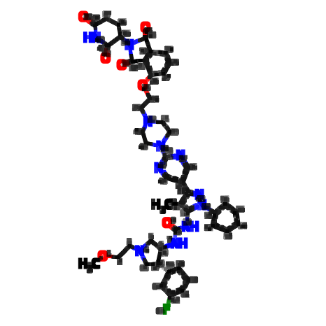 COCCN1C[C@@H](NC(=O)Nc2c(C)c(-c3cnc(N4CCN(CCOc5cccc6c5C(=O)N(C5CCC(=O)NC5=O)C6=O)CC4)nc3)nn2-c2ccccc2)[C@H](c2cccc(F)c2)C1